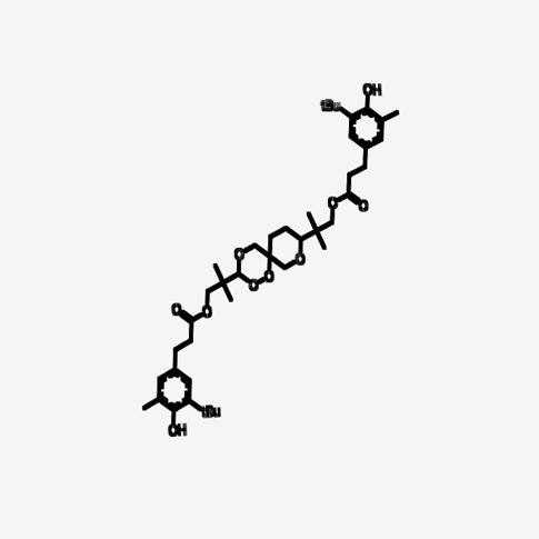 Cc1cc(CCC(=O)OCC(C)(C)C2CCC3(CO2)COC(C(C)(C)COC(=O)CCc2cc(C)c(O)c(C(C)(C)C)c2)OO3)cc(C(C)(C)C)c1O